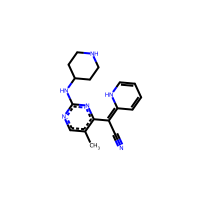 Cc1cnc(NC2CCNCC2)nc1C(C#N)=C1C=CC=CN1